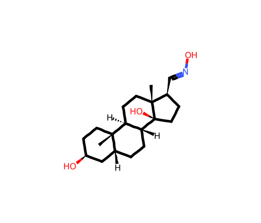 C[C@]12CC[C@H](O)C[C@H]1CC[C@@H]1[C@@H]2CC[C@]2(C)[C@@H](C=NO)CC[C@]12O